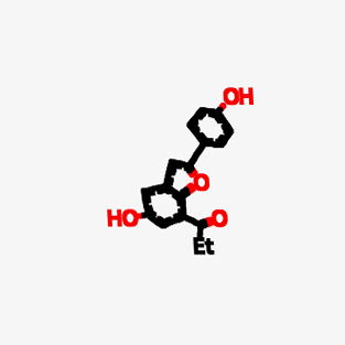 CCC(=O)c1cc(O)cc2cc(-c3ccc(O)cc3)oc12